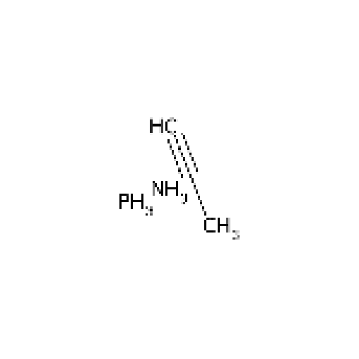 C#CC.N.P